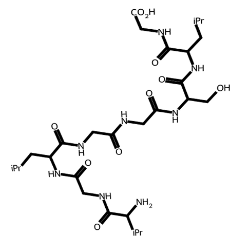 CC(C)CC(NC(=O)CNC(=O)C(N)C(C)C)C(=O)NCC(=O)NCC(=O)NC(CO)C(=O)NC(CC(C)C)C(=O)NCC(=O)O